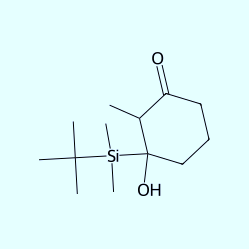 CC1C(=O)CCCC1(O)[Si](C)(C)C(C)(C)C